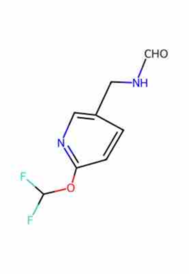 O=CNCc1ccc(OC(F)F)nc1